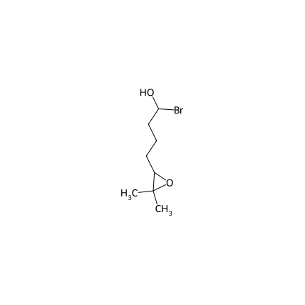 CC1(C)OC1CCCC(O)Br